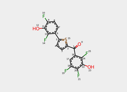 O=C(c1ccc(-c2ccc(F)c(O)c2F)s1)c1cc(F)c(F)c(O)c1F